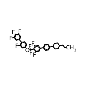 CCCC1CCC(c2ccc(-c3cc(F)c(C(F)(F)Oc4ccc(-c5cc(F)c(F)c(F)c5)c(F)c4)c(F)c3)cc2)CC1